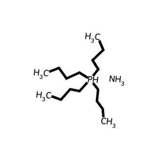 CCCC[PH](CCCC)(CCCC)CCCC.N